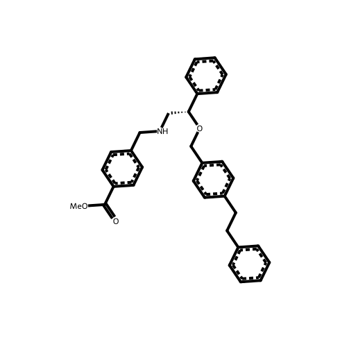 COC(=O)c1ccc(CNC[C@@H](OCc2ccc(CCc3ccccc3)cc2)c2ccccc2)cc1